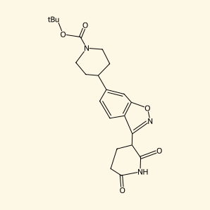 CC(C)(C)OC(=O)N1CCC(c2ccc3c(C4CCC(=O)NC4=O)noc3c2)CC1